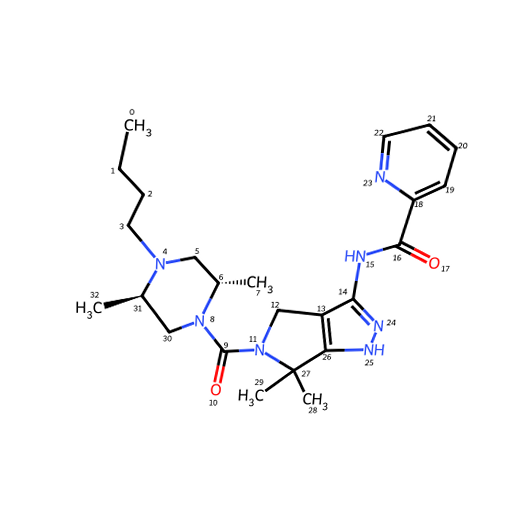 CCCCN1C[C@H](C)N(C(=O)N2Cc3c(NC(=O)c4ccccn4)n[nH]c3C2(C)C)C[C@H]1C